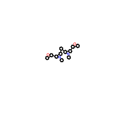 c1ccc(-n2c3ccc(-c4ccc5oc6ccccc6c5c4)cc3c3cc(-c4ccccc4-c4ccc5c(c4)c4cc(-c6ccc7oc8ccccc8c7c6)ccc4n5-c4ccccc4)ccc32)cc1